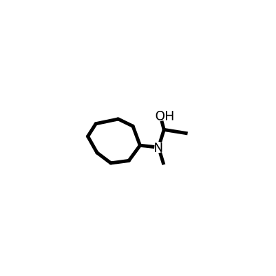 CC(O)N(C)C1CCCCCCC1